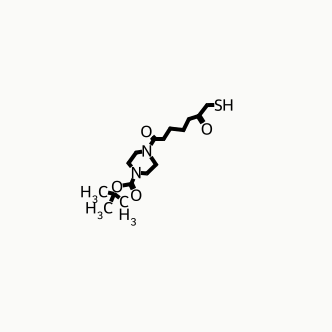 CC(C)(C)OC(=O)N1CCN(C(=O)CCCCC(=O)CS)CC1